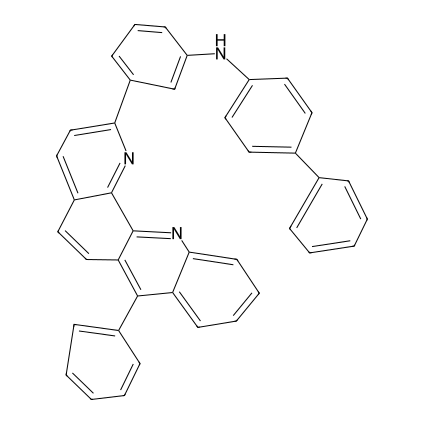 c1ccc(-c2ccc(Nc3cccc(-c4ccc5ccc6c(-c7ccccc7)c7ccccc7nc6c5n4)c3)cc2)cc1